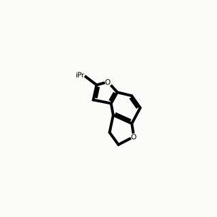 CC(C)c1cc2c3c(ccc2o1)OCC3